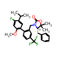 COc1cc(F)c(C(C)C)cc1-c1ccc(C(F)(F)F)cc1CN1C(=O)OC(C)(C)[C@@H]1Cc1ccccc1